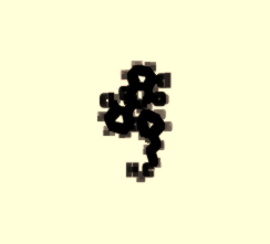 CCCCc1ccc(P(C(=O)c2c(Cl)cccc2Cl)C(=O)c2c(Cl)cccc2Cl)cc1